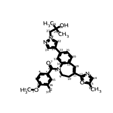 COc1ccc(C(=O)N2CCC(c3ncc(C)o3)=Cc3ccc(-c4cnn(CC(C)(C)O)c4)cc32)cc1F